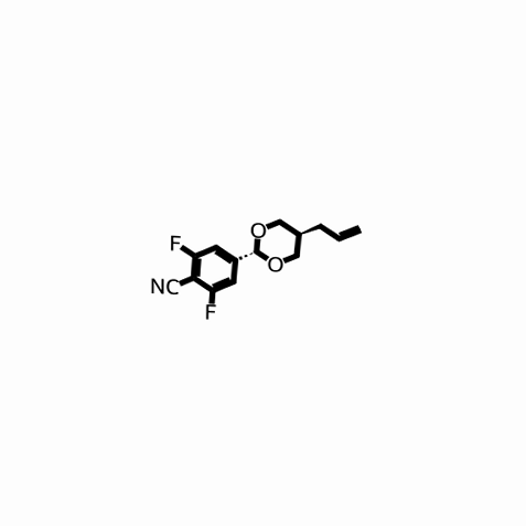 C=CC[C@H]1CO[C@H](c2cc(F)c(C#N)c(F)c2)OC1